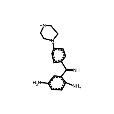 N=C(c1ccc(N2CCNCC2)cc1)c1cc(N)ccc1N